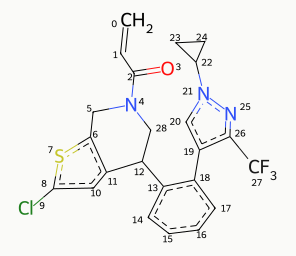 C=CC(=O)N1Cc2sc(Cl)cc2C(c2ccccc2-c2cn(C3CC3)nc2C(F)(F)F)C1